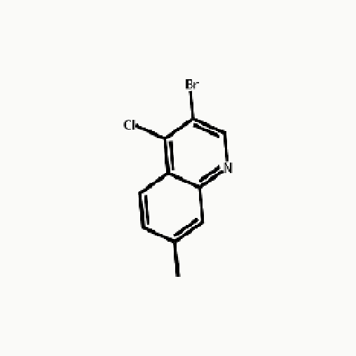 Cc1ccc2c(Cl)c(Br)cnc2c1